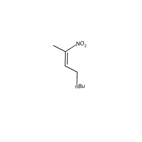 CCCCC/C=C(/C)[N+](=O)[O-]